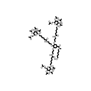 CC(=O)N[C@H]1[C@H](OCCCCCC(=O)NCCCOC2[C@H](OCCCNC(=O)CCCCCO[C@@H]3O[C@H](COC(C)=O)[C@H](OC(C)=O)[C@H](OC(C)=O)[C@H]3NC(C)=O)CC(C(=O)N(C)CCCCCCO)C[C@H]2OCCCNC(=O)CCCCCO[C@@H]2O[C@H](COC(C)=O)[C@H](OC(C)=O)[C@H](OC(C)=O)[C@H]2NC(C)=O)O[C@H](COC(C)=O)[C@H](OC(C)=O)[C@@H]1OC(C)=O